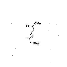 COCC(C)CCCC(OC)C(C)C